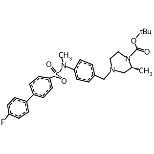 C[C@H]1CN(Cc2ccc(N(C)S(=O)(=O)c3ccc(-c4ccc(F)cc4)cc3)cc2)CCN1C(=O)OC(C)(C)C